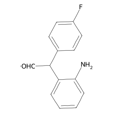 Nc1ccccc1C([C]=O)c1ccc(F)cc1